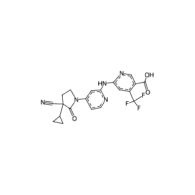 N#CC1(C2CC2)CCN(c2ccnc(Nc3cc(C(F)(F)F)c(C(=O)O)cn3)c2)C1=O